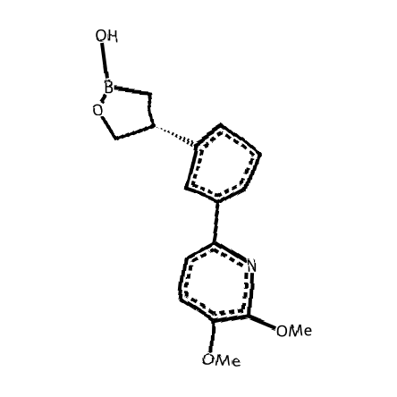 COc1ccc(-c2cccc([C@@H]3COB(O)C3)c2)nc1OC